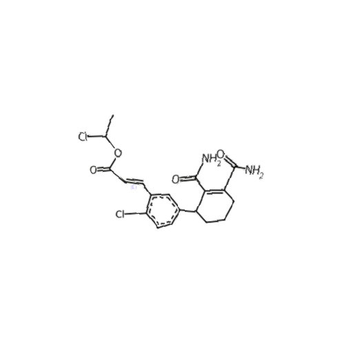 CC(Cl)OC(=O)/C=C/c1cc(C2CCCC(C(N)=O)=C2C(N)=O)ccc1Cl